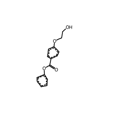 O=C(Oc1ccccc1)c1ccc(OCCO)cc1